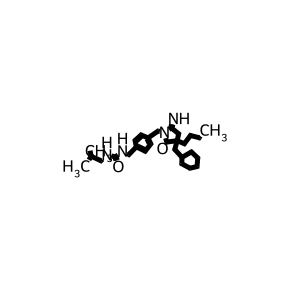 CCCCC1(CC2CCCCC2)CC(=N)N(Cc2ccc(CNC(=O)NCC(C)C)cc2)C1=O